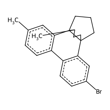 Cc1ccc2c(c1)C13CCCC1(CCC3C)c1cc(Br)ccc1-2